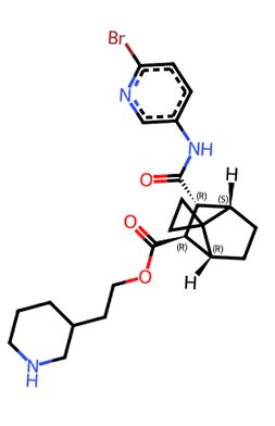 O=C(OCCC1CCCNC1)[C@H]1[C@H](C(=O)Nc2ccc(Br)nc2)[C@@H]2CC[C@H]1C21CC1